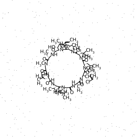 C=CCl.CC=CC[C@@H](C)[C@@H](O)[C@H]1C(=O)N[C@@H](CC)C(=O)N(C)CC(=O)N(C)[C@@H](CC(C)C)C(=O)N[C@@H](C(C)C)C(=O)N(C)[C@@H](CC(C)C)C(=O)N[C@@H](C)C(=O)N[C@H](C)C(=O)N(C)[C@@H](CC(C)C)C(=O)N(C)[C@@H](CC(C)C)C(=O)N(C)[C@@H](C(C)C)C(=O)N1C